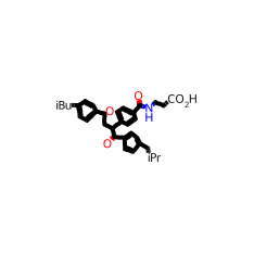 CCC(C)c1ccc(C(=O)CC(C(=O)c2ccc(CC(C)C)cc2)c2ccc(C(=O)NCCC(=O)O)cc2)cc1